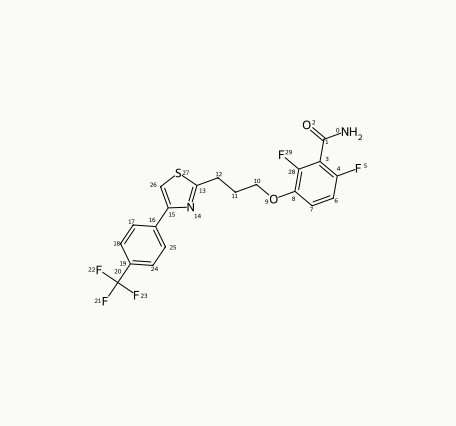 NC(=O)c1c(F)ccc(OCCCc2nc(-c3ccc(C(F)(F)F)cc3)cs2)c1F